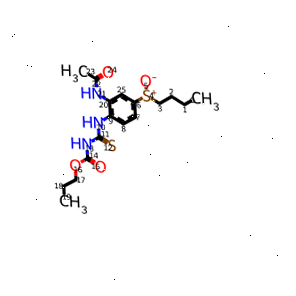 CCCC[S+]([O-])c1ccc(NC(=S)NC(=O)OCCC)c(NC(C)=O)c1